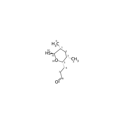 C[C@@H]1C[C@H](C)[C@H](CCC=O)O[C@H]1S